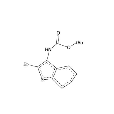 CCc1sc2ccccc2c1NC(=O)OC(C)(C)C